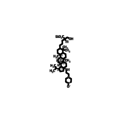 C=C(C)[C@@H]1CC[C@]2(NCCN3CC[S+]([O-])CC3)CC[C@]3(C)[C@H](CCC4[C@@]5(C)CCC(CCCC(CC)(CO)C(=O)OCC)C(C)(C)C5CC[C@]43C)C12